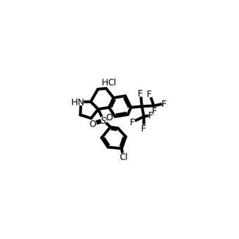 Cl.O=S(=O)(c1ccc(Cl)cc1)C12CCNC1CCc1cc(C(F)(C(F)(F)F)C(F)(F)F)ccc12